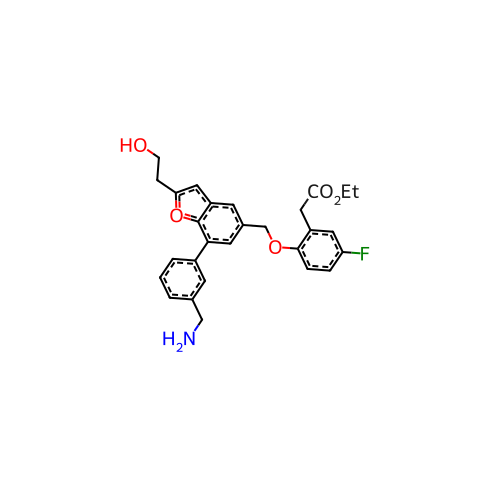 CCOC(=O)Cc1cc(F)ccc1OCc1cc(-c2cccc(CN)c2)c2oc(CCO)cc2c1